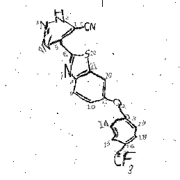 N#Cc1[nH]nnc1-c1nc2ccc(Oc3ccc(C(F)(F)F)cc3)cc2s1